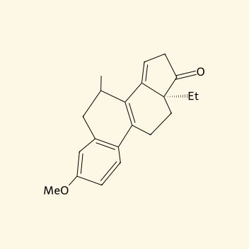 CC[C@]12CCC3=C(C1=CCC2=O)C(C)Cc1cc(OC)ccc13